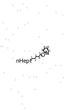 CCCCCCCCCCCCOc1ccc[c]n1